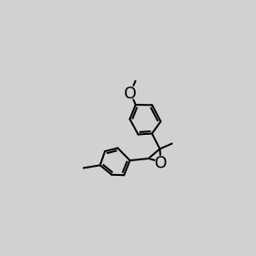 COc1ccc(C2(C)OC2c2ccc(C)cc2)cc1